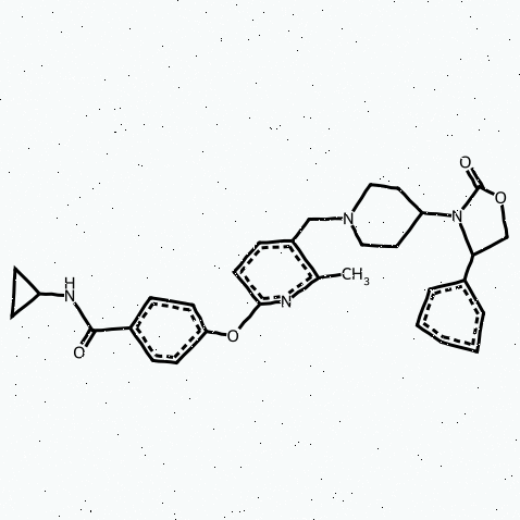 Cc1nc(Oc2ccc(C(=O)NC3CC3)cc2)ccc1CN1CCC(N2C(=O)OCC2c2ccccc2)CC1